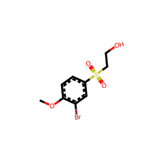 COc1ccc(S(=O)(=O)CCO)cc1Br